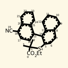 CCOC(=O)C(C)(C)Sc1ccc2ccccc2c1-c1ccc(C#N)c2ccccc12